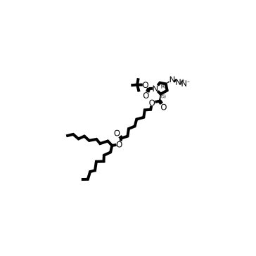 CCCCCCCCC(CCCCCCCC)OC(=O)CCCCCCCOC(=O)[C@@H]1C[C@@H](N=[N+]=[N-])CN1C(=O)OC(C)(C)C